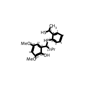 CCCC(Pc1ccccc1C(C)S)c1cc(OC)cc(OC)c1O